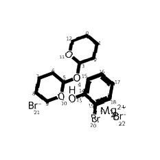 C1CCC(OC2CCCCO2)OC1.Oc1ccccc1Br.[Br-].[Br-].[Mg+2]